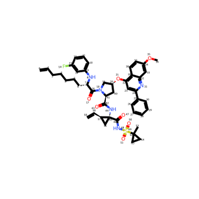 C=CCCCCC[C@H](Nc1cccc(F)c1)C(=O)N1C[C@H](Oc2cc(-c3ccccc3)nc3cc(OC)ccc23)C[C@H]1C(=O)N[C@]1(C(=O)NS(=O)(=O)C2(C)CC2)C[C@H]1C=C